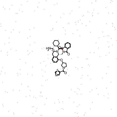 CNC(=O)[C@@H]1CCCCC1C(=O)N1CCc2cccc(OC3CCN(C(=O)c4cncs4)C3)c2[C@H]1CN1C(=O)c2ccccc2C1=O